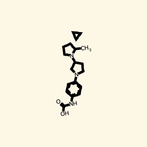 C1CC1.CC1CCCN1C1CCN(c2ccc(NC(=O)O)cc2)C1